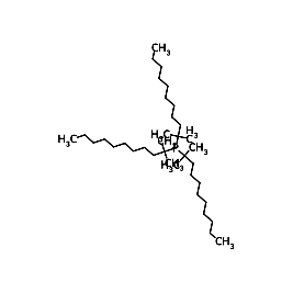 CCCCCCCCCC(C)(C)P(C(C)(C)CCCCCCCCC)C(C)(C)CCCCCCCCC